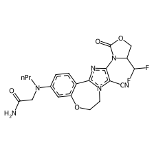 CCCN(CC(N)=O)c1ccc2c(c1)OCCn1c-2nc(N2C(=O)OCC2C(F)F)c1C#N